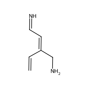 C=C/C(=C\C=N)CN